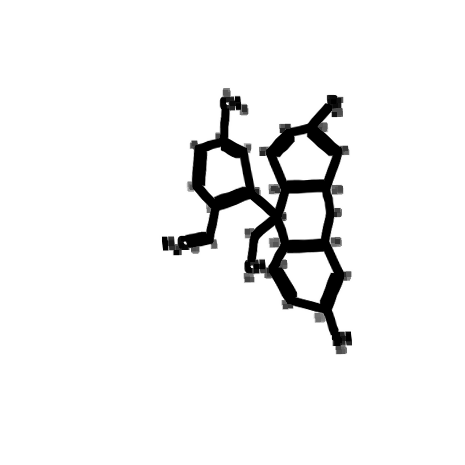 C=Cc1ccc(C)cc1C1(CC)c2ccc(S)cc2Cc2cc(Br)ccc21